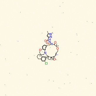 CO[C@H]1/C=C/COC(C)(C)C(=O)N=S(=O)(NC(=O)c2cc(C)n(C)n2)c2ccc3c(c2)N(C[C@@H]2CC[C@H]21)C[C@@]1(CCCc2cc(Cl)ccc21)CO3